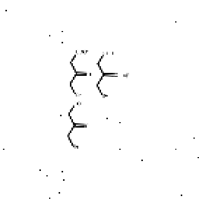 CC(C)CC(=O)CC(=O)[O-].CC(C)CC(=O)CC(=O)[O-].CC(C)CC(=O)CC(=O)[O-].[Al+3]